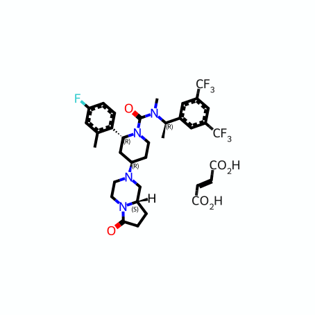 Cc1cc(F)ccc1[C@H]1C[C@H](N2CCN3C(=O)CC[C@H]3C2)CCN1C(=O)N(C)[C@H](C)c1cc(C(F)(F)F)cc(C(F)(F)F)c1.O=C(O)C=CC(=O)O